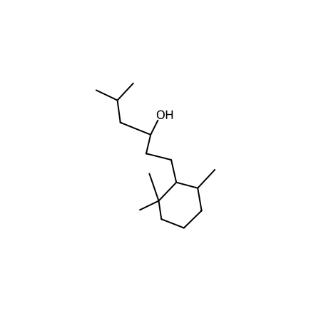 CC(C)CC(O)CCC1C(C)CCCC1(C)C